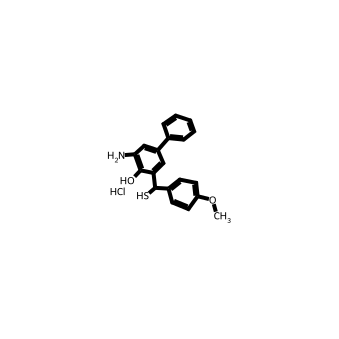 COc1ccc(C(S)c2cc(-c3ccccc3)cc(N)c2O)cc1.Cl